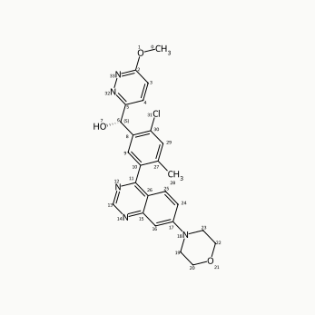 COc1ccc([C@@H](O)c2cc(-c3ncnc4cc(N5CCOCC5)ccc34)c(C)cc2Cl)nn1